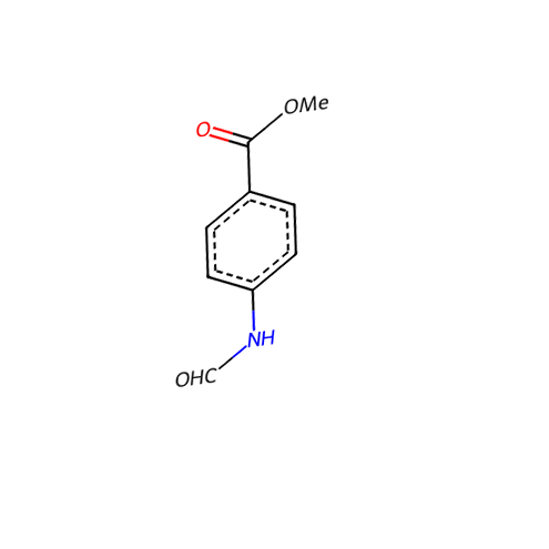 COC(=O)c1ccc(NC=O)cc1